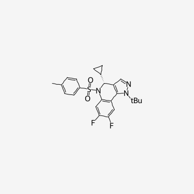 Cc1ccc(S(=O)(=O)N2c3cc(F)c(F)cc3-c3c(cnn3C(C)(C)C)[C@H]2C2CC2)cc1